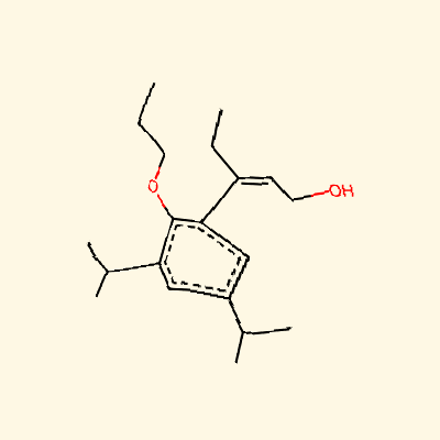 CCCOc1c(/C(=C\CO)CC)cc(C(C)C)cc1C(C)C